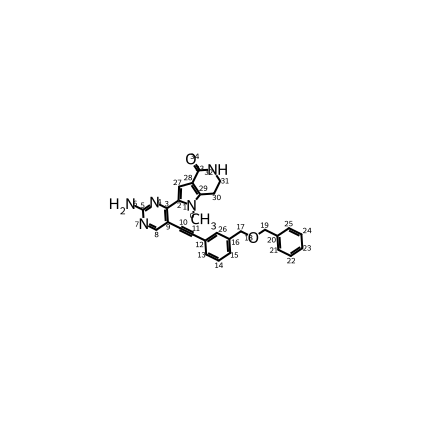 Cn1c(-c2nc(N)ncc2C#Cc2cccc(COCc3ccccc3)c2)cc2c1CCNC2=O